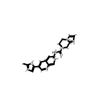 Cc1ncc(-c2cnc3cnc(NC(=O)N4CCn5ccnc5C4)cc3c2)o1